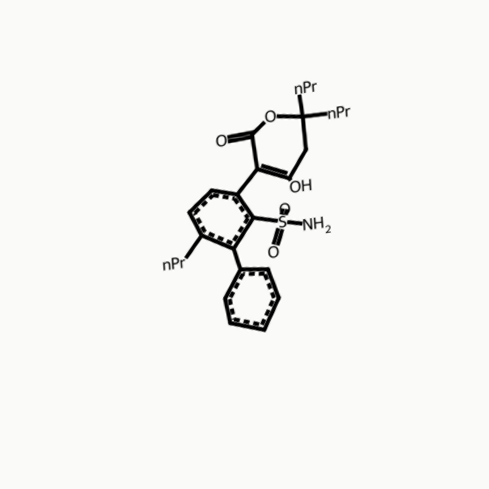 CCCc1ccc(C2=C(O)CC(CCC)(CCC)OC2=O)c(S(N)(=O)=O)c1-c1ccccc1